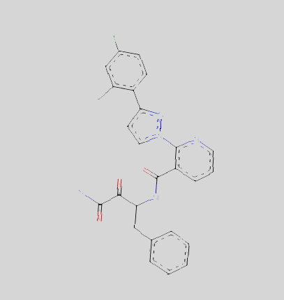 NC(=O)C(=O)C(Cc1ccccc1)NC(=O)c1cccnc1-n1ccc(-c2ccc(Cl)cc2Cl)n1